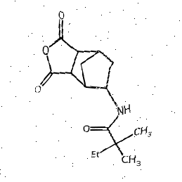 CCC(C)(C)C(=O)NC1CC2CC1C1C(=O)OC(=O)C21